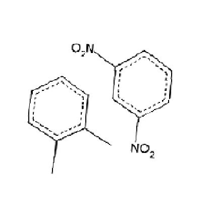 Cc1ccccc1C.O=[N+]([O-])c1cccc([N+](=O)[O-])c1